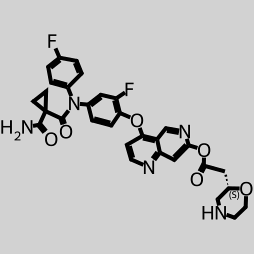 NC(=O)C1(C(=O)N(c2ccc(F)cc2)c2ccc(Oc3ccnc4cc(OC(=O)C[C@H]5CNCCO5)ncc34)c(F)c2)CC1